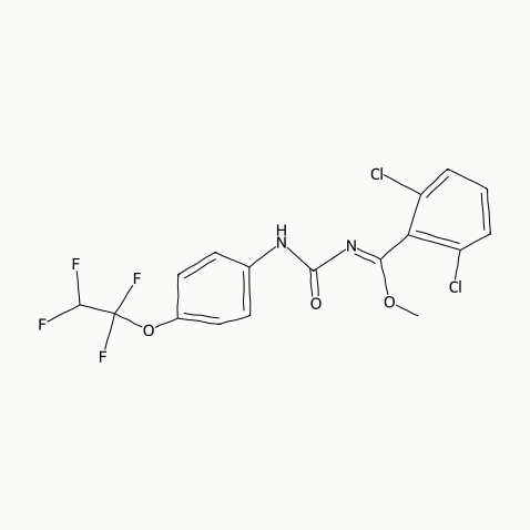 CO/C(=N\C(=O)Nc1ccc(OC(F)(F)C(F)F)cc1)c1c(Cl)cccc1Cl